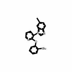 Cc1ccc2ncn(-c3cccnc3Oc3ccccc3C(C)(C)C)c2c1